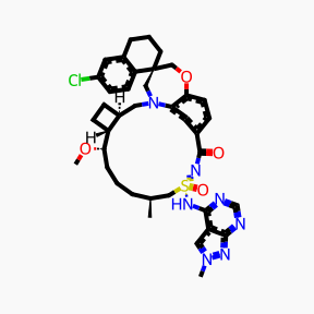 CO[C@H]1CCC[C@H](C)C[S@@](=O)(Nc2ncnc3nn(C)cc23)=NC(=O)c2ccc3c(c2)N(C[C@@H]2CC[C@H]21)C[C@@]1(CCCc2cc(Cl)ccc21)CO3